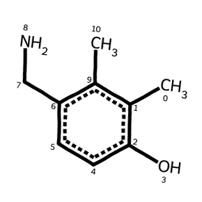 Cc1c(O)ccc(CN)c1C